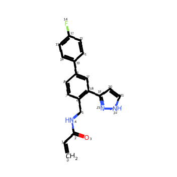 C=CC(=O)NCc1ccc(-c2ccc(F)cc2)cc1-c1cc[nH]n1